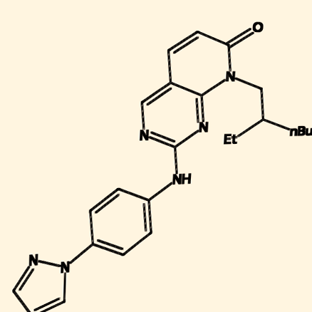 CCCCC(CC)Cn1c(=O)ccc2cnc(Nc3ccc(-n4cccn4)cc3)nc21